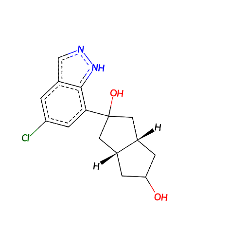 OC1C[C@@H]2CC(O)(c3cc(Cl)cc4cn[nH]c34)C[C@@H]2C1